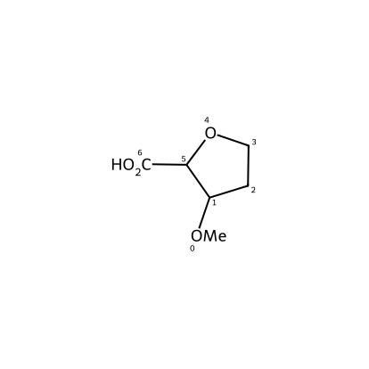 COC1CCOC1C(=O)O